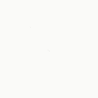 CC(NC(=O)C=Cc1ccccc1F)c1ccc2c(c1)N(C)CCO2